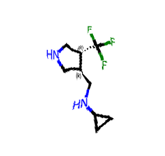 FC(F)(F)[C@H]1CNC[C@@H]1CNC1CC1